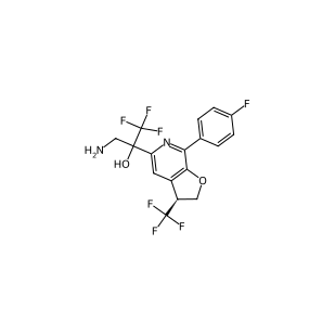 NCC(O)(c1cc2c(c(-c3ccc(F)cc3)n1)OC[C@H]2C(F)(F)F)C(F)(F)F